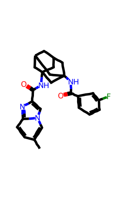 Cc1ccc2nc(C(=O)NC34CC5CC(CC(NC(=O)c6cccc(F)c6)(C5)C3)C4)cn2c1